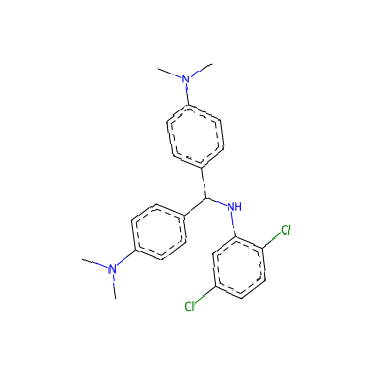 CN(C)c1ccc(C(Nc2cc(Cl)ccc2Cl)c2ccc(N(C)C)cc2)cc1